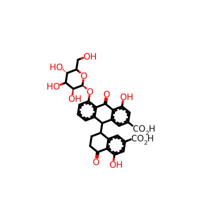 O=C(O)c1cc(O)c2c(c1)C(C1c3cc(C(=O)O)cc(O)c3C(=O)c3c(O[C@@H]4OC(CO)[C@@H](O)C(O)[C@@H]4O)cccc31)CCC2=O